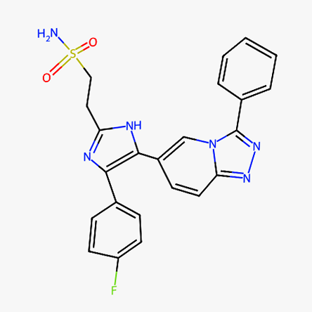 NS(=O)(=O)CCc1nc(-c2ccc(F)cc2)c(-c2ccc3nnc(-c4ccccc4)n3c2)[nH]1